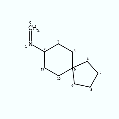 C=NC1CCC2(CCCC2)CC1